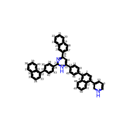 C1=CNCC(c2ccc(-c3ccc(C4=CC(c5ccc6ccccc6c5)=NC(c5ccc(-c6cccc7ccccc67)cc5)N4)cc3)c3ccccc23)=C1